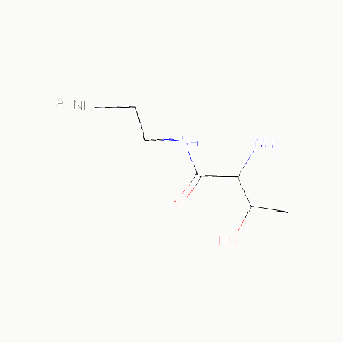 CC(=O)NCCNC(=O)C(N)C(C)O